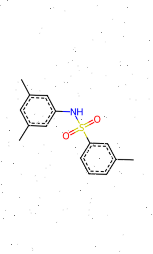 Cc1cc(C)cc(NS(=O)(=O)c2cccc(C)c2)c1